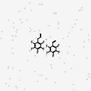 C=CCc1c(F)c(F)c(F)c(F)c1F.C=Cc1c(F)c(F)c(F)c(F)c1F